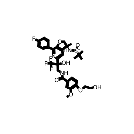 COc1cc(C(=O)NCC(O)(c2cc3c(c(-c4ccc(F)cc4)n2)OCC3(C)N[S+]([O-])C(C)(C)C)C(F)(F)F)ccc1OCCO